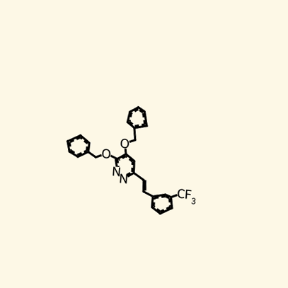 FC(F)(F)c1cccc(C=Cc2cc(OCc3ccccc3)c(OCc3ccccc3)nn2)c1